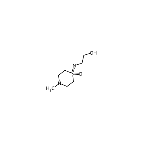 CN1CCS(=O)(=NCCO)CC1